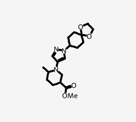 COC(=O)C1CCC(C)N(c2cnn(C3CCC4(CC3)OCCO4)c2)C1